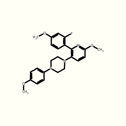 COc1ccc(N2CCN(c3ccc(OC)nc3-c3ccc(OC)cc3F)CC2)cc1